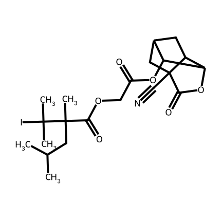 CC(C)CC(C)(C(=O)OCC(=O)OC1C2CC3C1OC(=O)C3(C#N)C2)C(C)(C)I